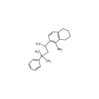 CC(C[Si](C)(C)c1ccccc1)c1ccc2c(c1N)CCCC2